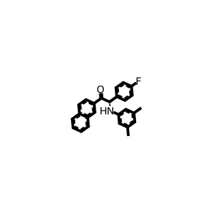 Cc1cc(C)cc(N[C@H](C(=O)c2ccc3ccccc3c2)c2ccc(F)cc2)c1